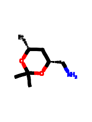 CC[C@@H]1C[C@H](CN)OC(C)(C)O1